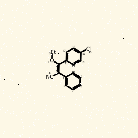 CCO/C(=C(\C#N)c1ccccc1)c1ccc(Cl)cc1